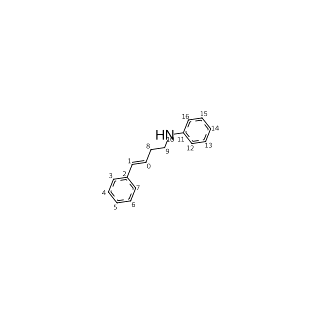 C(=Cc1ccccc1)CCNc1ccccc1